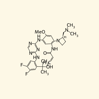 C=CC(=O)Nc1cc(Nc2ncnc(Nc3cc(F)c(F)cc3C(C)(C)O)n2)c(OC)cc1N1CC[C@@H]1CN(C)C